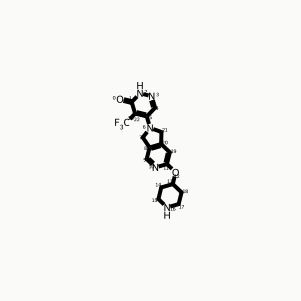 O=c1[nH]ncc(N2Cc3cnc(OC4CCNCC4)cc3C2)c1C(F)(F)F